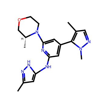 Cc1cc(Nc2cc(-c3c(C)cnn3C)cc(N3CCOC[C@H]3C)n2)[nH]n1